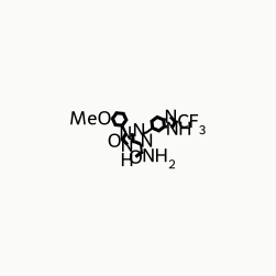 COc1cccc(-n2c(=O)[nH]c3c(C(N)=O)nc(-c4ccc5nc(C(F)(F)F)[nH]c5c4)nc32)c1